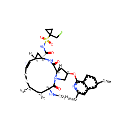 CC[C@@H]1C[C@H](C)CC/C=C\[C@@H]2C[C@@]2(C(=O)NS(=O)(=O)C2(CF)CC2)NC(=O)[C@@H]2C[C@@H](Oc3nc(OC)cc4cc(OC)ccc34)CN2C(=O)[C@H]1NC(=O)O